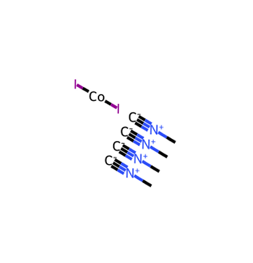 [C-]#[N+]C.[C-]#[N+]C.[C-]#[N+]C.[C-]#[N+]C.[I][Co][I]